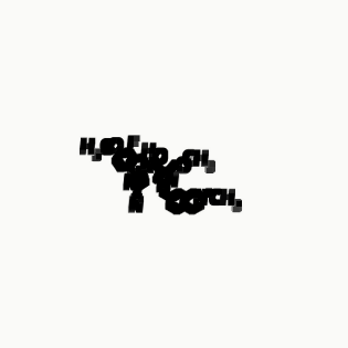 CCN1CCc2ccc(Cn3cc(C(=O)NCc4c(-n5ccc(C#N)n5)ccc(OC)c4F)c(COC)n3)cc2C1